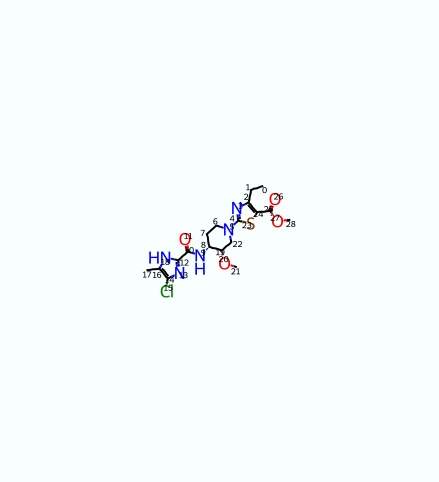 CCc1nc(N2CC[C@@H](NC(=O)c3nc(Cl)c(C)[nH]3)[C@@H](OC)C2)sc1C(=O)OC